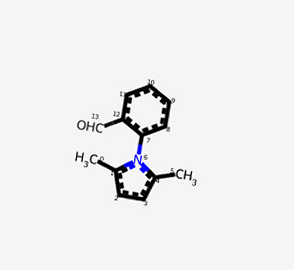 Cc1ccc(C)n1-c1ccccc1C=O